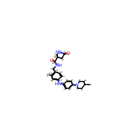 CC1CCN(c2ccc(Nc3ccc(CNC(=O)C4CNC(=O)C4)c(F)c3)cc2)CC1